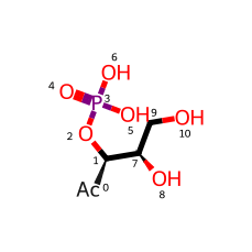 CC(=O)[C@@H](OP(=O)(O)O)[C@H](O)CO